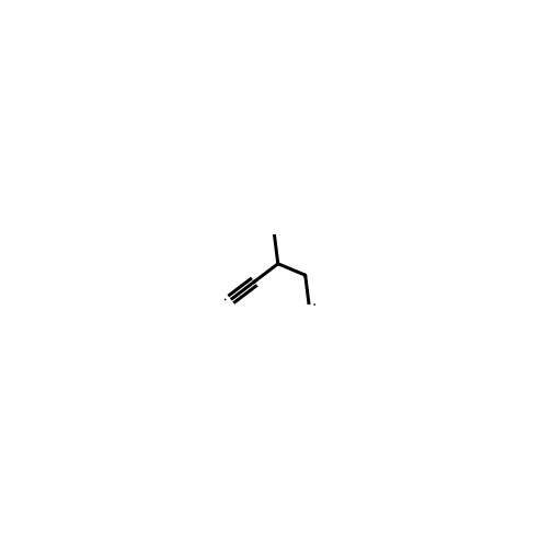 [C]#CC(C)C[CH2]